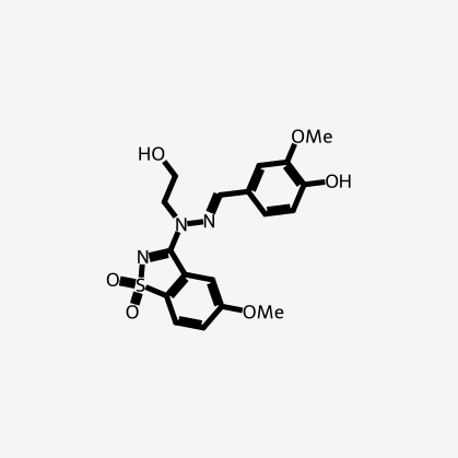 COc1ccc2c(c1)C(N(CCO)N=Cc1ccc(O)c(OC)c1)=NS2(=O)=O